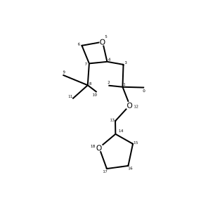 CC(C)(CC1OCC1C(C)(C)C)OCC1CCCO1